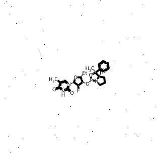 CC[C@H]1O[C@@H](n2cc(C)c(=O)[nH]c2=O)C(F)[C@H]1O[P@]1O[C@@](C)(c2ccccc2)[C@H]2CCCN21